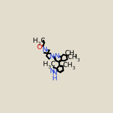 C=CC(=O)N1CC2(CCN(c3nc4c(c(-c5c(C)ccc6[nH]ncc56)c3C)CCC(C)(C)C4)C2)C1